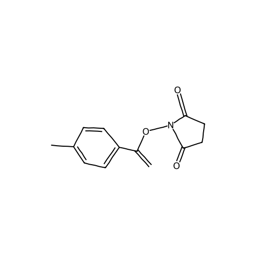 C=C(ON1C(=O)CCC1=O)c1ccc(C)cc1